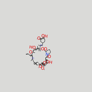 C=CC[C@@H]1/C=C(\C)C[C@H](C)C[C@H](OC)[C@H]2O[C@@](O)(CC(=O)N3CCCCC3C(=O)O[C@H](/C(C)=C/C3CC[C@@H](O)[C@H](OC)C3)[C@H](C)[C@H](O)CC1=O)[C@H](C)C[C@@H]2OC